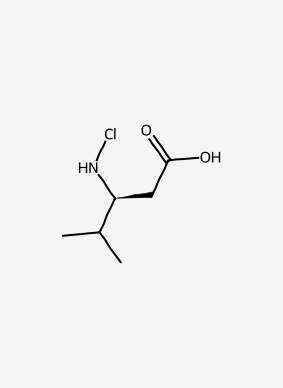 CC(C)[C@H](CC(=O)O)NCl